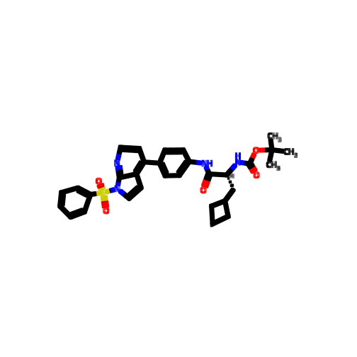 CC(C)(C)OC(=O)N[C@H](CC1CCC1)C(=O)Nc1ccc(-c2ccnc3c2ccn3S(=O)(=O)c2ccccc2)cc1